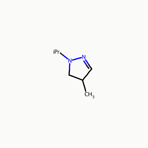 CC1C=NN(C(C)C)C1